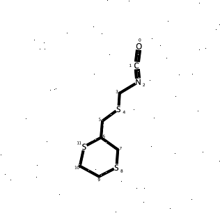 O=C=NCSCC1CSCCS1